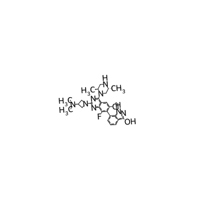 C[C@@H]1CN(c2nc(N3CC(N(C)C)C3)nc3c(F)c(-c4cccc5c(O)n[nH]c45)c(Cl)cc23)[C@@H](C)CN1